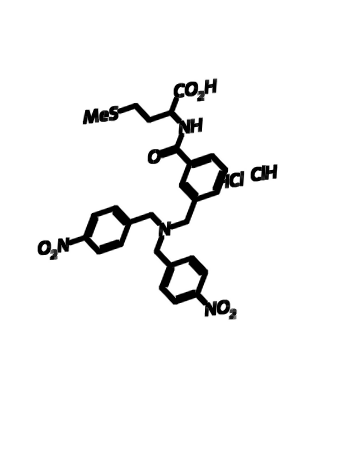 CSCCC(NC(=O)c1cccc(CN(Cc2ccc([N+](=O)[O-])cc2)Cc2ccc([N+](=O)[O-])cc2)c1)C(=O)O.Cl.Cl